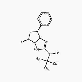 CC(C)(C#N)[S+]([O-])C1=NN2C(N1)[C@@H](F)C[C@H]2c1ccccc1